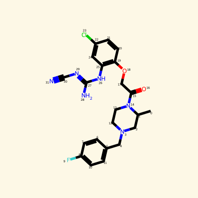 CC1CN(Cc2ccc(F)cc2)CCN1C(=O)COc1ccc(Cl)cc1NC(N)=NC#N